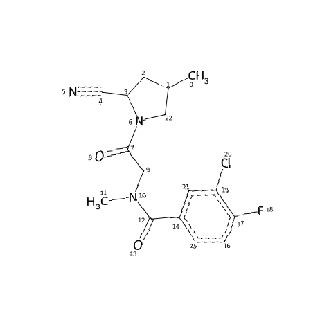 CC1CC(C#N)N(C(=O)CN(C)C(=O)c2ccc(F)c(Cl)c2)C1